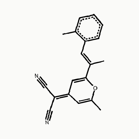 CC1=CC(=C(C#N)C#N)C=C(C(C)=Cc2ccccc2C)O1